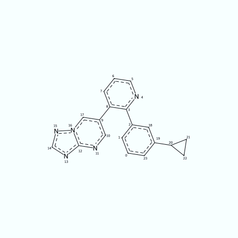 c1cc(-c2ncccc2-c2cnc3ncnn3c2)cc(C2CC2)c1